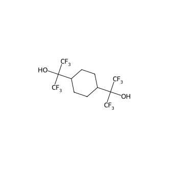 OC(C1CCC(C(O)(C(F)(F)F)C(F)(F)F)CC1)(C(F)(F)F)C(F)(F)F